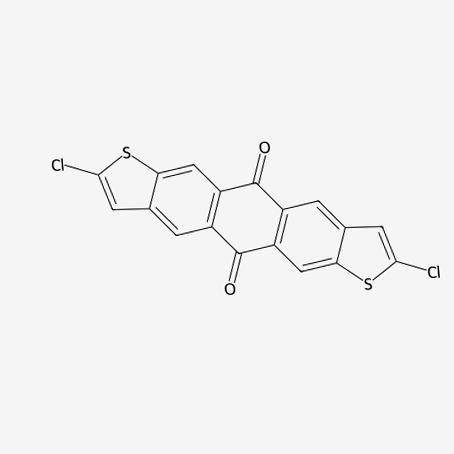 O=C1c2cc3cc(Cl)sc3cc2C(=O)c2cc3cc(Cl)sc3cc21